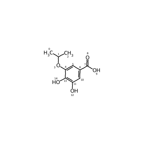 CC(C)Oc1cc(C(=O)O)cc(O)c1O